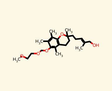 COCCOCOc1c(C)c(C)c2c(c1C)CCC(C)(CC/C=C(\C)CO)O2